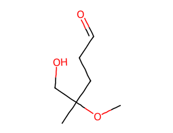 COC(C)(CO)CCC=O